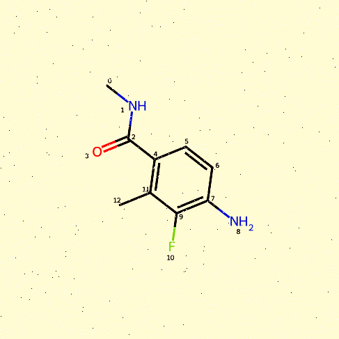 CNC(=O)c1ccc(N)c(F)c1C